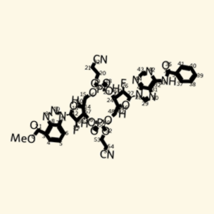 COC(=O)c1cccc2c1nnn2[C@@H]1O[C@@H]2COP(=O)(OCCC#N)O[C@H]3[C@@H](F)[C@H](n4cnc5c(NC(=O)c6ccccc6)ncnc54)O[C@@H]3COP(=O)(OCCC#N)O[C@H]2[C@H]1F